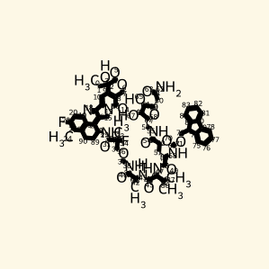 CC[C@@]1(O)C(=O)OCc2c1cc1n(c2=O)Cc2c-1nc1cc(F)c(C)c3c1c2[C@@H](NC(=O)[C@](C)(F)COCNC(=O)[C@H](C)NC(=O)[C@@H](NC(=O)[C@H](CCC(=O)NC[C@H]1O[C@@H](CC(N)=O)[C@H](O)[C@@H]1O)NC(=O)OCC1c2ccccc2-c2ccccc21)C(C)C)CC3